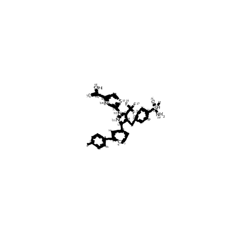 Cc1ccc(-c2cccc(-c3nn(-c4nc(C(=O)O)cs4)c(C(F)(F)F)c3Cc3ccc([SH](C)(N)=O)cc3)c2)cc1